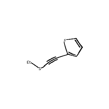 CCSC#Cc1cccs1